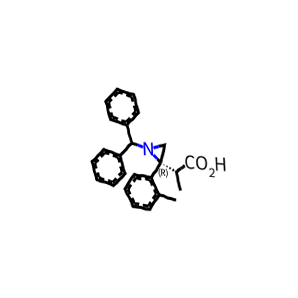 Cc1ccccc1[C@]1(C(C)C(=O)O)CN1C(c1ccccc1)c1ccccc1